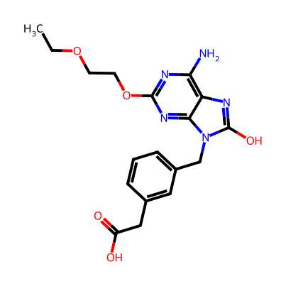 CCOCCOc1nc(N)c2nc(O)n(Cc3cccc(CC(=O)O)c3)c2n1